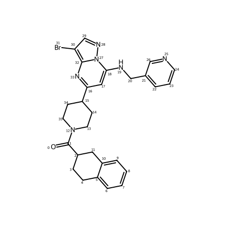 O=C(C1CCc2ccccc2C1)N1CCC(c2cc(NCc3cccnc3)n3ncc(Br)c3n2)CC1